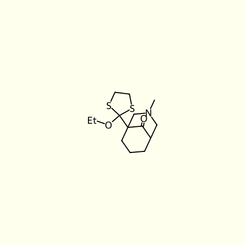 CCOC1(C23CCCC(CN(C)C2)C3=O)SCCS1